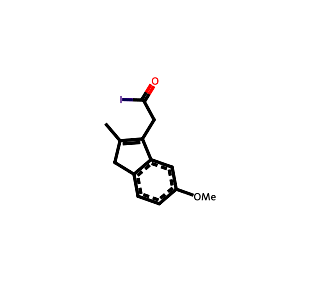 COc1ccc2c(c1)C(CC(=O)I)=C(C)C2